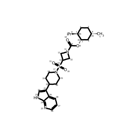 CC(C)[C@H]1CC[C@H](C)C[C@@H]1OC(=O)N1CC(S(=O)(=O)N2CCC(c3c[nH]c4ncccc34)CC2)C1